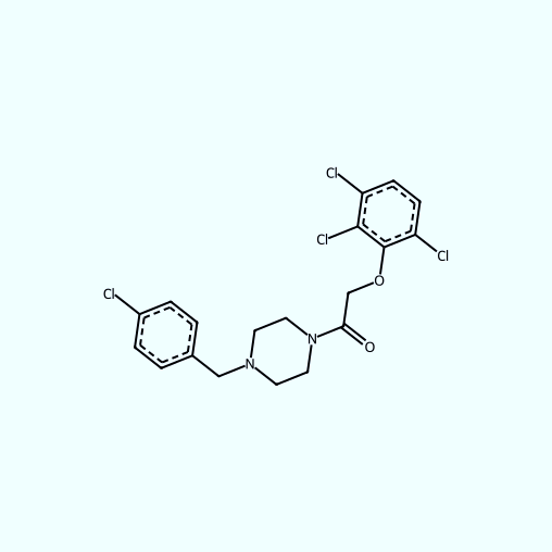 O=C(COc1c(Cl)ccc(Cl)c1Cl)N1CCN(Cc2ccc(Cl)cc2)CC1